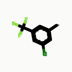 [CH2]c1cc(Cl)cc(C(F)(F)F)c1